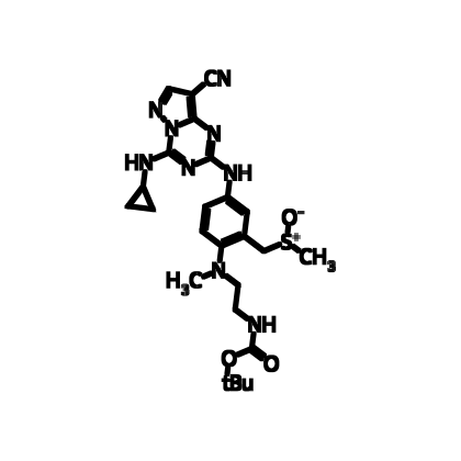 CN(CCNC(=O)OC(C)(C)C)c1ccc(Nc2nc(NC3CC3)n3ncc(C#N)c3n2)cc1C[S+](C)[O-]